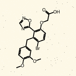 COc1ccc(Cc2c(Br)ccc(OCC(=O)O)c2-c2ncno2)cc1OC